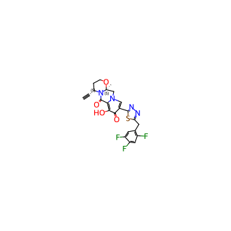 C#C[C@@H]1CCO[C@@]2(C)Cn3cc(-c4nnc(Cc5cc(F)c(F)cc5F)s4)c(=O)c(O)c3C(=O)N12